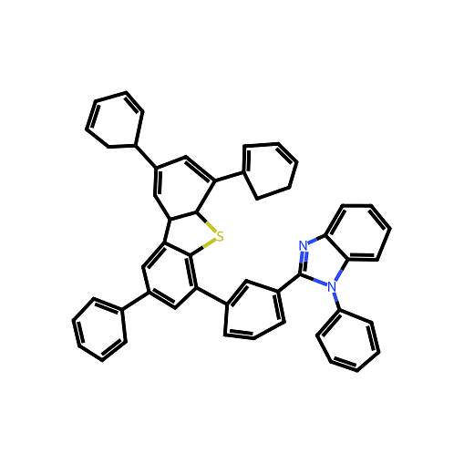 C1=CCCC(C2=CC(C3C=CC=CC3)=CC3c4cc(-c5ccccc5)cc(-c5cccc(-c6nc7ccccc7n6-c6ccccc6)c5)c4SC23)=C1